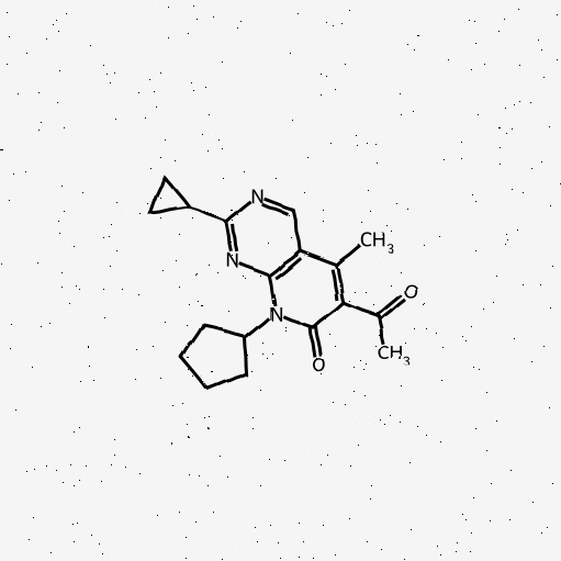 CC(=O)c1c(C)c2cnc(C3CC3)nc2n(C2CCCC2)c1=O